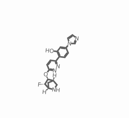 Oc1cc(-n2ccnc2)ccc1-c1ccc(O[C@H]2[C@@H]3CN[C@@H](C3)[C@@H]2F)nn1